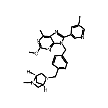 COc1nc(C)c2nc(-c3cncc(F)c3)n(Cc3ccc(CN4C[C@@H]5C[C@H]4CN5C)cc3)c2n1